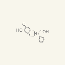 O=c1cc2n(cc1O)CCN(C(CO)c1ccccc1)C2